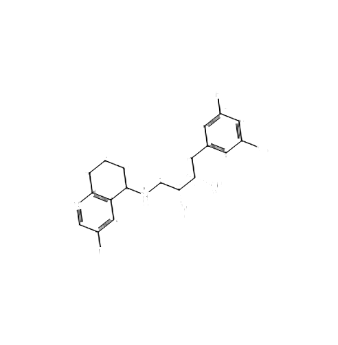 CCc1cnc2c(c1)C(NC[C@@H](O)[C@@H](C)Cc1cc(F)cc(F)c1)CCC2